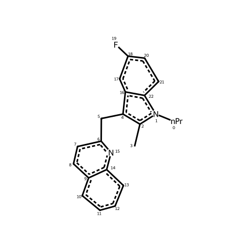 CCCn1c(C)c(Cc2ccc3ccccc3n2)c2cc(F)ccc21